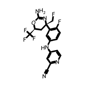 N#Cc1cc(Nc2ccc(F)c([C@]3(CF)C[C@@H](C(F)(F)F)OC(N)=N3)c2)ccn1